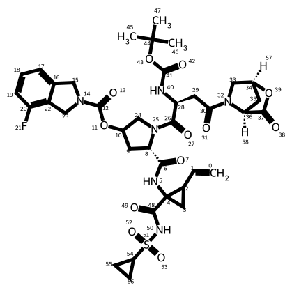 C=CC1CC1(NC(=O)[C@@H]1CC(OC(=O)N2Cc3cccc(F)c3C2)CN1C(=O)[C@H](CC(=O)N1C[C@@H]2C[C@H]1C(=O)O2)NC(=O)OC(C)(C)C)C(=O)NS(=O)(=O)C1CC1